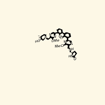 COc1nc(-c2cccc(-c3cccc(-c4cnc(CN5CC[C@@H](C)[C@@H](O)C5)c(OC)n4)c3Cl)c2Cl)cnc1CNC[C@@H]1CCC(=O)N1